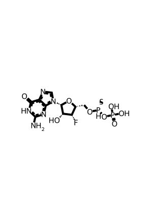 Nc1nc2c(ncn2[C@@H]2O[C@H](CO[PH](=S)OP(=O)(O)O)[C@H](F)[C@@H]2O)c(=O)[nH]1